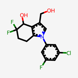 OCc1cn(-c2cc(F)cc(Cl)c2)c2c1C(O)C(F)(F)CC2